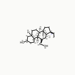 C/C=C1/CC[C@H]2[C@@H]3CC[C@H]4C[C@H](O)CC[C@]4(C)[C@H]3C(=NO)C[C@]12C